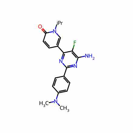 CC(C)n1cc(-c2nc(-c3ccc(N(C)C)cc3)nc(N)c2F)ccc1=O